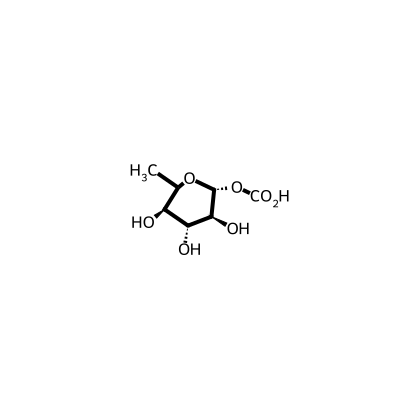 CC1O[C@H](OC(=O)O)[C@@H](O)[C@H](O)[C@H]1O